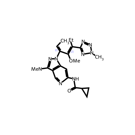 C/C=C(\C(OC)=C(/CC)c1nnn(C)n1)n1nc(NC)c2cnc(NC(=O)C3CC3)cc21